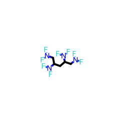 FN(F)CC(CC(CN(F)F)N(F)F)N(F)F